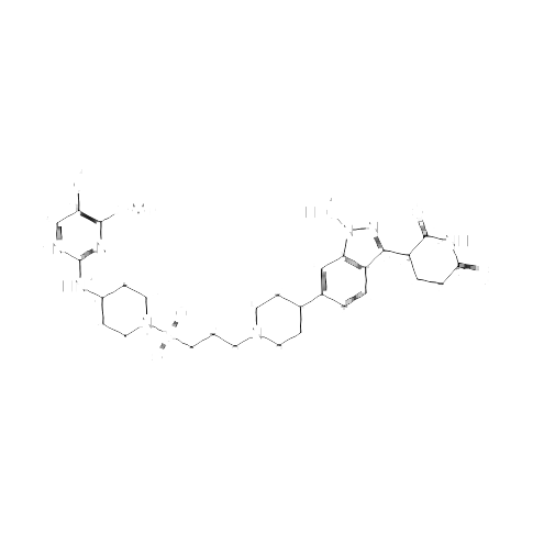 COc1nc(NC2CCN(S(=O)(=O)CCCN3CCC(c4ccc5c(C6CCC(=O)NC6=O)nn(C)c5c4)CC3)CC2)ncc1C(F)(F)F